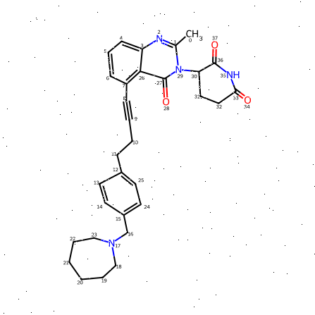 Cc1nc2cccc(C#CCCc3ccc(CN4CCCCCC4)cc3)c2c(=O)n1C1CCC(=O)NC1=O